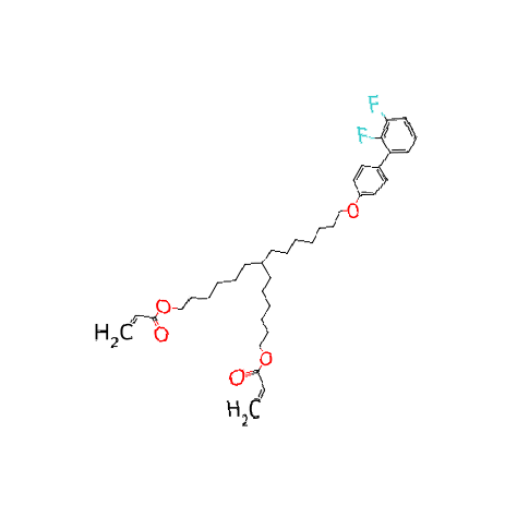 C=CC(=O)OCCCCCCC(CCCCCCCOc1ccc(-c2cccc(F)c2F)cc1)CCCCCCOC(=O)C=C